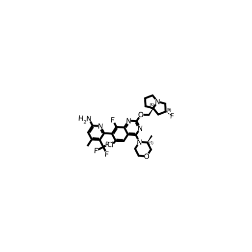 Cc1cc(N)nc(-c2c(Cl)cc3c(N4CCOC[C@@H]4C)nc(OC[C@@]45CCCN4C[C@H](F)C5)nc3c2F)c1C(F)(F)F